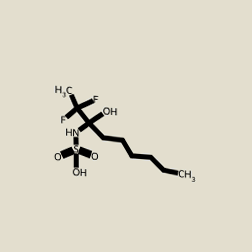 CCCCCCC(O)(NS(=O)(=O)O)C(C)(F)F